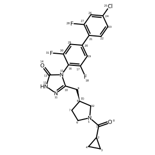 O=C(C1CC1)N1CC[C@@H](Cc2n[nH]c(=O)n2-c2c(F)cc(-c3ccc(Cl)cc3F)cc2F)C1